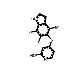 N#Cc1cc(Sc2c(F)c(F)c3[nH]ccc3c2Br)ccn1